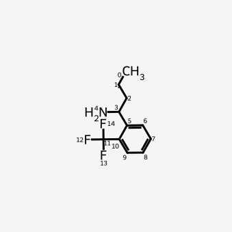 C[CH]CC(N)c1ccccc1C(F)(F)F